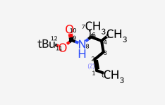 C/C=C\CC(C)[C@@H](C)NC(=O)OC(C)(C)C